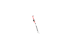 CCCC(C)CCCOCCOCCOCCOCC(=O)NCCCC(C)(C)CC